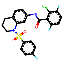 O=C(Nc1ccc2c(c1)N(S(=O)(=O)c1ccc(F)cc1)CCC2)c1c(F)ccc(F)c1Cl